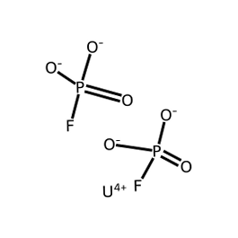 O=P([O-])([O-])F.O=P([O-])([O-])F.[U+4]